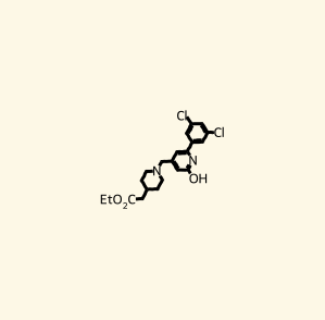 CCOC(=O)CC1CCN(Cc2cc(O)nc(-c3cc(Cl)cc(Cl)c3)c2)CC1